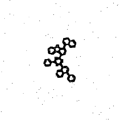 C1=CC2C=CC=C(c3ccc(-c4nc(-c5ccccc5)nc(-c5ccc(-c6ccccc6)c6ccccc56)n4)c4c3oc3ccccc34)C2C=C1